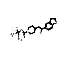 CC(C)(C)OC(=O)N1CCC(CC(=O)c2ccc3c(c2)CCO3)CC1